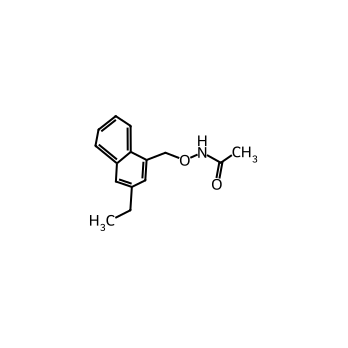 CCc1cc(CONC(C)=O)c2ccccc2c1